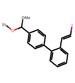 CCOC(OC)c1ccc(-c2ccccc2/C=C/I)cc1